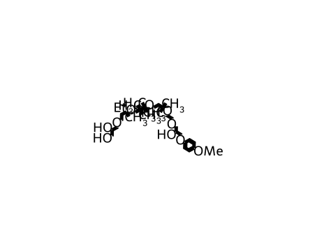 CCC(C)(CCOCC(O)CO)OCC(C)(C)C(C)(C)OCCC(C)(C)OCCOCC(O)COc1ccc(OC)cc1